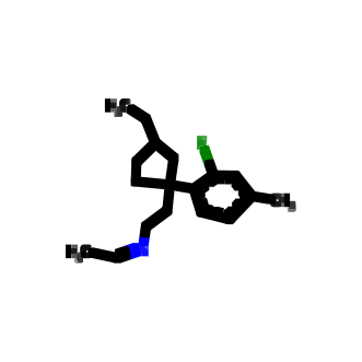 C/C=N\CCC1(c2ccc(C)cc2F)CCC(CC)C1